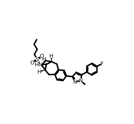 CCCCS(=O)(=O)N[C@H]1[C@@H]2CC[C@H]1Cc1ccc(-c3cc(-c4ccc(F)cc4)n(C)n3)cc1C2